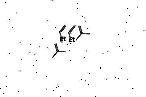 C=C(C)C.C=C(C)C.C=CCC.C=CCC